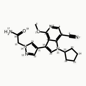 COc1ncc(C#N)c2c1c(-c1cnn(CC(N)=O)c1)cn2C1CCCC1